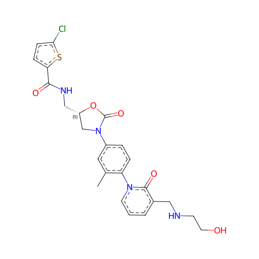 Cc1cc(N2C[C@H](CNC(=O)c3ccc(Cl)s3)OC2=O)ccc1-n1cccc(CNCCO)c1=O